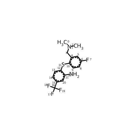 CN(C)Cc1cc(F)ccc1Sc1ccc(C(F)(F)F)cc1N